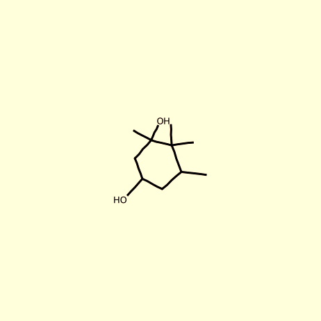 CC1CC(O)CC(C)(O)C1(C)C